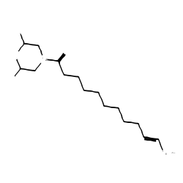 CCCCCC=CCCCCCCCCC(=O)N1CC(C)OC(C)C1